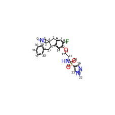 CN1C2C1C21Cc2cc(F)c(OCCNS(=O)(=O)c3cnn(C)c3)cc2C1Cc1ccccc1